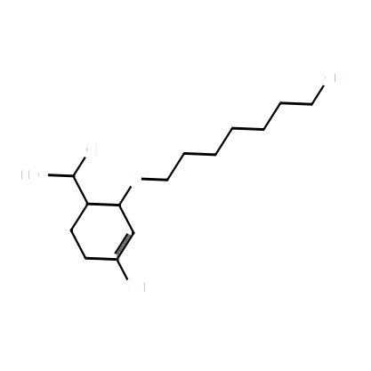 CCCCCCCCSC1C=C(C)CCC1C(C)C